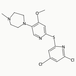 COc1cc(Sc2cc(Cl)cc(Cl)n2)ncc1N1CCN(C)CC1